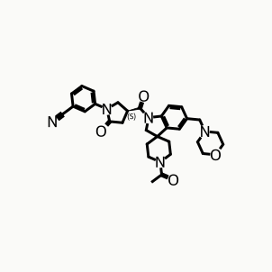 CC(=O)N1CCC2(CC1)CN(C(=O)[C@H]1CC(=O)N(c3cccc(C#N)c3)C1)c1ccc(CN3CCOCC3)cc12